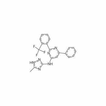 Cc1nc(Nc2cc(-c3ccccc3)nc(-c3ccccc3C(F)(F)F)n2)n[nH]1